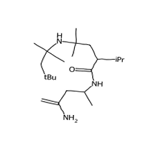 C=C(N)CC(C)NC(=O)C(CC(C)(C)NC(C)(C)CC(C)(C)C)C(C)C